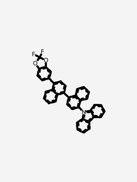 FC1(F)Oc2ccc(-c3ccc(-c4ccc(-n5c6ccccc6c6ccccc65)c5ccccc45)c4ccccc34)cc2O1